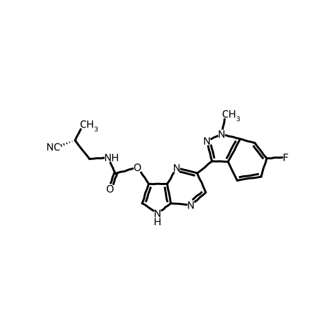 C[C@@H](C#N)CNC(=O)Oc1c[nH]c2ncc(-c3nn(C)c4cc(F)ccc34)nc12